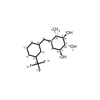 C[C@@H]1[C@@H](O)[C@H](O)[C@@H](O)CN1CC1CCCC(C(F)(F)F)C1